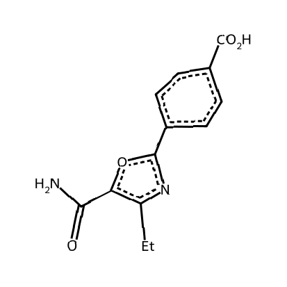 CCc1nc(-c2ccc(C(=O)O)cc2)oc1C(N)=O